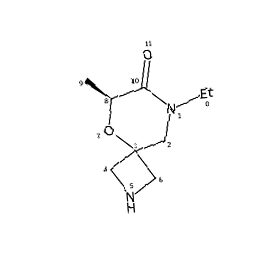 CCN1CC2(CNC2)O[C@@H](C)C1=O